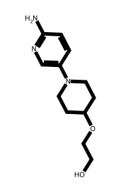 Nc1ccc(N2CCC(OCCO)CC2)cn1